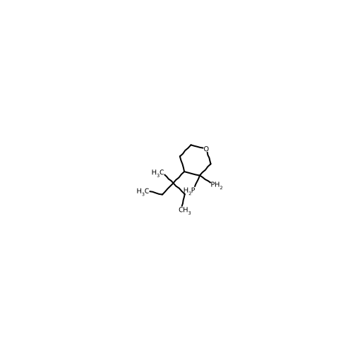 CCC(C)(CC)C1CCOCC1(P)P